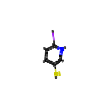 Sc1ccc(I)nc1